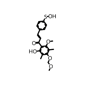 COCOc1c(C)c(O)c(C(=O)/C=C/c2ccc(SO)cc2)c(OC)c1C